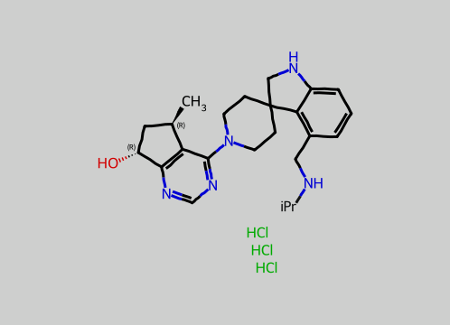 CC(C)NCc1cccc2c1C1(CCN(c3ncnc4c3[C@H](C)C[C@H]4O)CC1)CN2.Cl.Cl.Cl